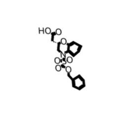 O=C(O)C[C@H]1CN(S(=O)(=O)C(=O)OCc2ccccc2)c2ccccc2O1